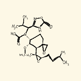 CO[C@@H]1[C@H](N(C(=O)O)C(c2noc(=O)[nH]2)C(C)C)CC[C@]2(CO2)[C@H]1[C@@]1(C)O[C@@H]1CC=C(C)C